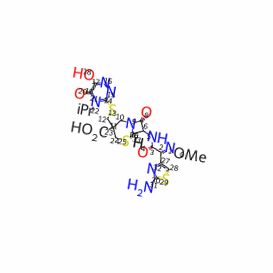 CON=C(C(=O)NC1C(=O)N2CC(CSc3nnc(O)c(=O)n3C(C)C)(C(=O)O)CS[C@H]12)c1csc(N)n1